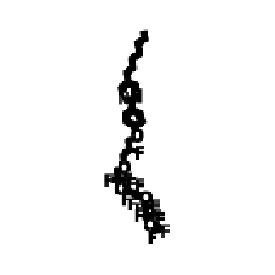 CCCCCCCc1cnc(-c2ccc(OC[C@@H](F)COCC(F)(F)OC(F)(F)C(F)(F)OC(F)(F)C(F)(F)OC(F)(F)F)cc2)nc1